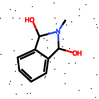 CN1C(O)c2ccccc2C1O